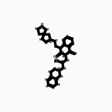 O=c1c2ccccc2n(CCN2CCC3(CCOC3)C2)c(=O)n1CC(O)CN1CCc2ccccc2C1